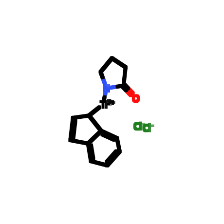 O=C1CCC[N]1[Ti+2][CH]1C=Cc2ccccc21.[Cl-].[Cl-]